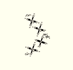 O=S(=O)([O-])[O-].[Ce+3].[Ce+3].[NH4+].[NH4+].[O]=[Mo](=[O])([O-])[O-].[O]=[Mo](=[O])([O-])[O-].[O]=[Mo](=[O])([O-])[O-]